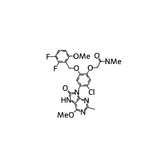 CNC(=O)COc1cc(Cl)c(-n2c(=O)[nH]c3c(OC)nc(C)nc32)cc1OCc1c(OC)ccc(F)c1F